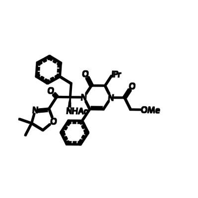 COCC(=O)N1C=C(c2ccccc2)N([C@](Cc2ccccc2)(NC(C)=O)C(=O)C2=NC(C)(C)CO2)C(=O)C1C(C)C